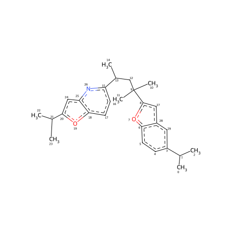 CC(C)c1ccc2oc(C(C)(C)CC(C)c3ccc4oc(C(C)C)cc4n3)cc2c1